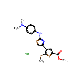 Br.COC(=O)c1cc(-c2csc(Nc3ccc(N(C)C)cc3)n2)c(SC)s1